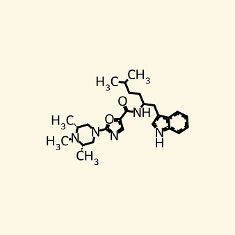 CC(C)CCC(Cc1c[nH]c2ccccc12)NC(=O)c1cnc(N2C[C@@H](C)N(C)[C@@H](C)C2)o1